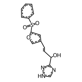 O=S(=O)(c1ccccc1)c1cc(C=CC(O)c2nc[nH]n2)co1